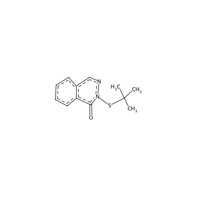 CC(C)(C)Sn1ncc2ccccc2c1=O